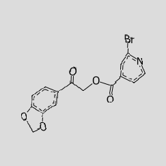 O=C(COC(=O)c1ccnc(Br)c1)c1ccc2c(c1)OCO2